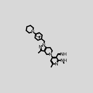 CNc1nc(C)cc(N2CCc3c(c(C)nn3CC34CCC(N5CCCCC5)(CC3)CC4)C2)c1C=N